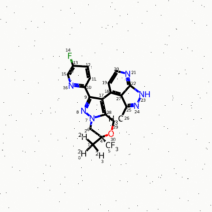 [2H]C([2H])([2H])[C@]1(C(F)(F)F)Cn2nc(-c3ccc(F)cn3)c(-c3ccnc4[nH]nc(C)c34)c2CO1